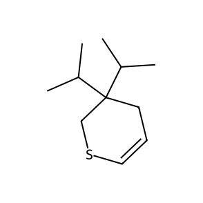 CC(C)C1(C(C)C)CC=CSC1